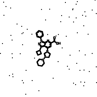 O=C(O)c1cc(N2CC[C@@H](N3CCCCC3)C2)c2c(C3CCC3)nn(-c3ccccc3)c2n1